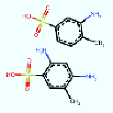 Cc1cc(S(=O)(=O)O)c(N)cc1N.Cc1ccc(S(=O)(=O)O)cc1N